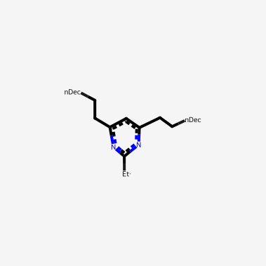 C[CH]c1nc(CCCCCCCCCCCC)cc(CCCCCCCCCCCC)n1